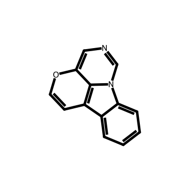 C1=Cc2c3ccccc3n3cncc(c23)O1